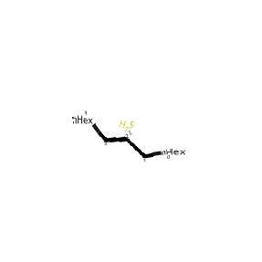 CCCCCCCCCCCCCCC.S